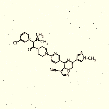 CN(C)[C@@H](C(=O)N1CCN(c2ccc(-c3nc(-c4cnn(C)c4)cn4ncc(C#N)c34)cn2)CC1)c1cccc(Cl)c1